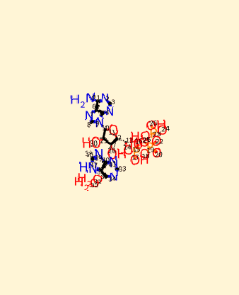 Nc1ncnc2c1ncn2[C@@H]1O[C@H](COP(=O)(O)OP(=O)(O)OP(=O)(O)O)[C@@H](O)[C@H]1O.O.O.c1ncc2[nH]cnc2n1